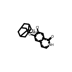 N[C@]12CC3CC(C1)[C@H](Oc1cc4cc[nH]c(=O)c4cc1Cl)C(C3)C2